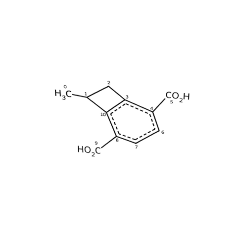 CC1Cc2c(C(=O)O)ccc(C(=O)O)c21